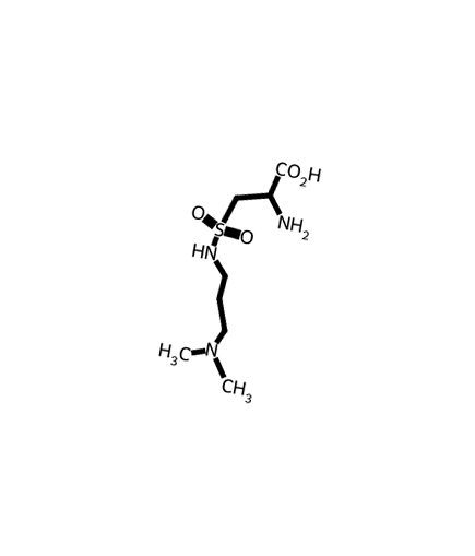 CN(C)CCCNS(=O)(=O)CC(N)C(=O)O